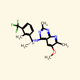 COc1cc2c(N[C@H](C)c3cccc(C(F)(F)F)c3C)nc(C)nc2nc1C